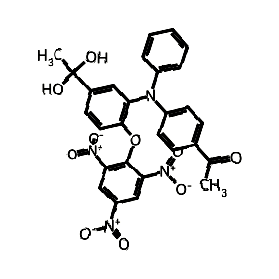 CC(=O)c1ccc(N(c2ccccc2)c2cc(C(C)(O)O)ccc2Oc2c([N+](=O)[O-])cc([N+](=O)[O-])cc2[N+](=O)[O-])cc1